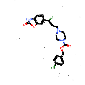 O=C(OCc1ccc(Cl)cc1)N1CCN(CC=C(Cl)c2ccc3[nH]c(=O)oc3c2)CC1